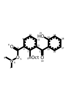 CCCCCCCCc1c(C(=O)ON(C)C)cccc1C(=O)c1ccccc1O